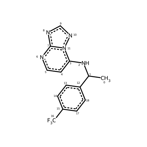 CC(Nc1ccnc2ncnn12)c1ccc(C(F)(F)F)cc1